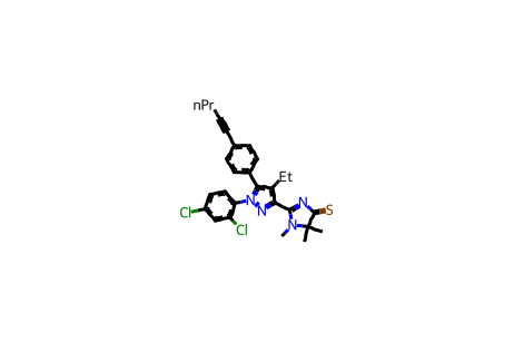 CCCC#Cc1ccc(-c2c(CC)c(C3=NC(=S)C(C)(C)N3C)nn2-c2ccc(Cl)cc2Cl)cc1